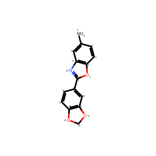 O=[N+]([O-])c1ccc2oc(-c3ccc4c(c3)OCO4)nc2c1